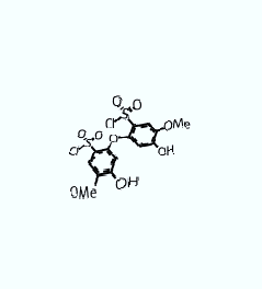 COc1cc(S(=O)(=O)Cl)c(Oc2cc(O)c(OC)cc2S(=O)(=O)Cl)cc1O